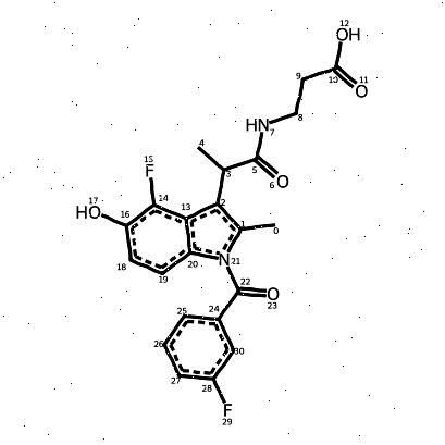 Cc1c(C(C)C(=O)NCCC(=O)O)c2c(F)c(O)ccc2n1C(=O)c1cccc(F)c1